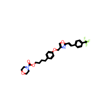 O=C(OCCCCc1ccc(OCc2coc(C=Cc3ccc(C(F)(F)F)cc3)n2)cc1)N1CCOCC1